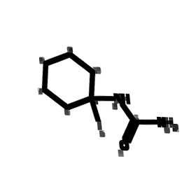 NC(=O)NC1(I)CCCCC1